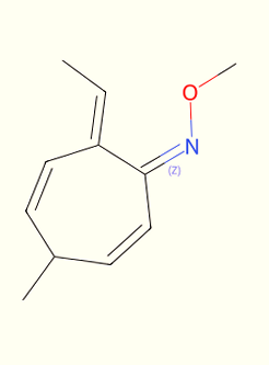 CC=C1C=CC(C)C=C/C1=N/OC